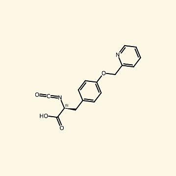 O=C=N[C@@H](Cc1ccc(OCc2ccccn2)cc1)C(=O)O